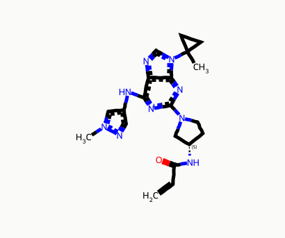 C=CC(=O)N[C@H]1CCN(c2nc(Nc3cnn(C)c3)c3ncn(C4(C)CC4)c3n2)C1